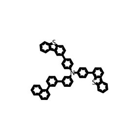 c1cc(-c2cccc(N(c3ccc(-c4ccc5sc6ccccc6c5c4)cc3)c3ccc(-c4cccc5c4sc4ccccc45)cc3)c2)cc(-c2cccc3ccccc23)c1